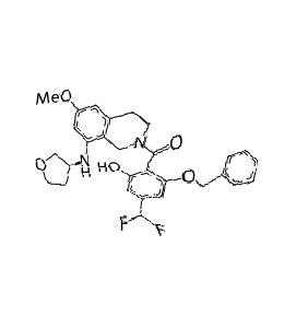 COc1cc2c(c(N[C@H]3CCOC3)c1)CN(C(=O)c1c(O)cc(C(F)F)cc1OCc1ccccc1)CC2